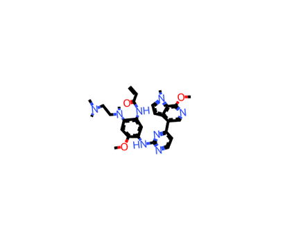 C=CC(=O)Nc1cc(Nc2nccc(-c3cnc(OC)c4c3ccn4C)n2)c(OC)cc1N(C)CCN(C)C